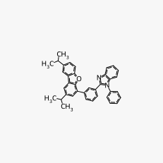 CC(C)c1ccc2oc3c(-c4cccc(-c5nc6ccccc6n5-c5ccccc5)c4)cc(C(C)C)cc3c2c1